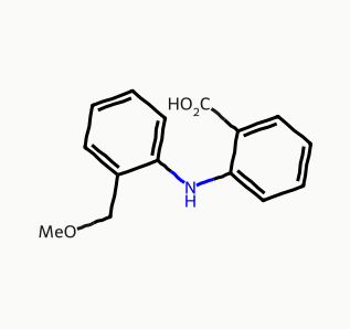 COCc1ccccc1Nc1ccccc1C(=O)O